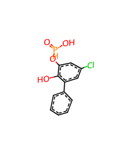 O=[PH](O)Oc1cc(Cl)cc(-c2ccccc2)c1O